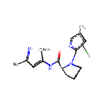 CO/C(=C\C(=N)C(C)(C)C)NC(=O)[C@@H]1CCCN1c1ncc(C)cc1Cl